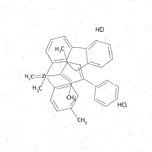 Cl.Cl.[CH2]=[Zr]([CH3])([C]1=C(C)C(c2ccccc2)=CC1C)([c]1ccc(C)cc1)[c]1cccc2c1Cc1ccccc1-2